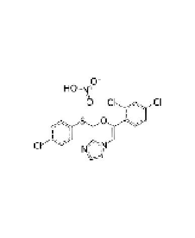 Clc1ccc(SCOC(=Cn2ccnc2)c2ccc(Cl)cc2Cl)cc1.O=[N+]([O-])O